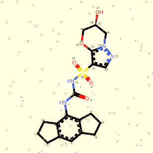 O=C(Nc1c2c(cc3c1CCC3)CCC2)NS(=O)(=O)c1cnn2c1OC[C@@H](O)C2